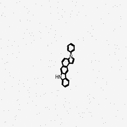 c1ccc(-n2ccc3c4cc5c(cc4ccc32)[nH]c2ccccc25)cc1